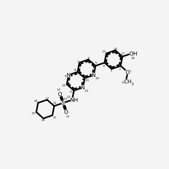 COc1cc(-c2ccc3ncc(NS(=O)(=O)C4CCCCC4)nc3n2)ccc1O